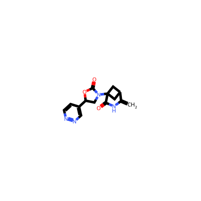 C=C1NC(=O)C2(N3CC(c4ccnnc4)OC3=O)CC1C2